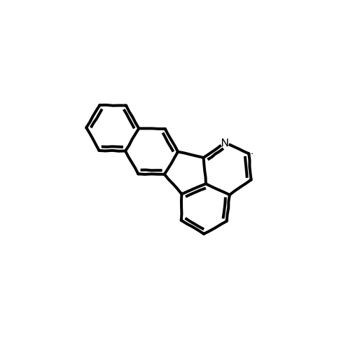 [c]1cc2cccc3c2c(n1)-c1cc2ccccc2cc1-3